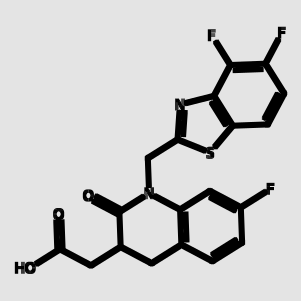 O=C(O)CC1Cc2ccc(F)cc2N(Cc2nc3c(F)c(F)ccc3s2)C1=O